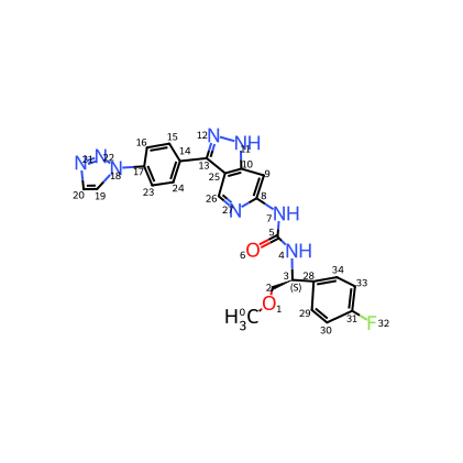 COC[C@@H](NC(=O)Nc1cc2[nH]nc(-c3ccc(-n4ccnn4)cc3)c2cn1)c1ccc(F)cc1